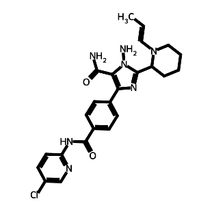 CC=CN1CCCCC1c1nc(-c2ccc(C(=O)Nc3ccc(Cl)cn3)cc2)c(C(N)=O)n1N